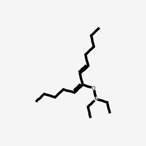 CCCC/C=C/C(=C\CCCC)ON(CC)CC